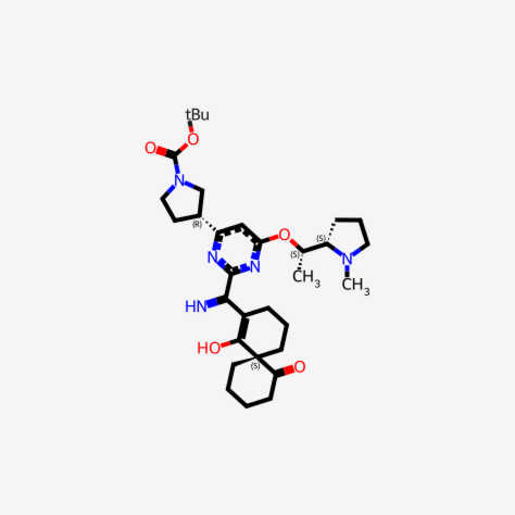 C[C@H](Oc1cc([C@@H]2CCN(C(=O)OC(C)(C)C)C2)nc(C(=N)C2=C(O)[C@]3(CCCCC3=O)CCC2)n1)[C@@H]1CCCN1C